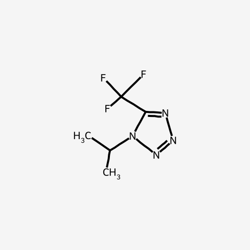 CC(C)n1nnnc1C(F)(F)F